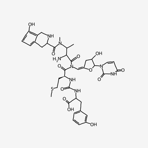 CSCC[C@H](NC(=O)NC(Cc1cccc(O)c1)C(=O)O)C(=O)N(/C=C1\CC(O)C(n2ccc(=O)[nH]c2=O)O1)C(=O)C(N)C(C)N(C)C(=O)C1Cc2cccc(O)c2CN1